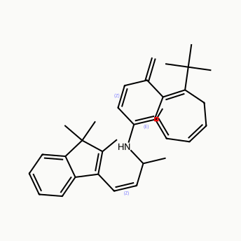 C=C(/C=C\C(=C/C)NC(C)/C=C\C1=C(C)C(C)(C)c2ccccc21)C1=C(C(C)(C)C)CC=CC=C1